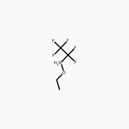 CCO[SiH2]C(F)(F)C(F)(F)F